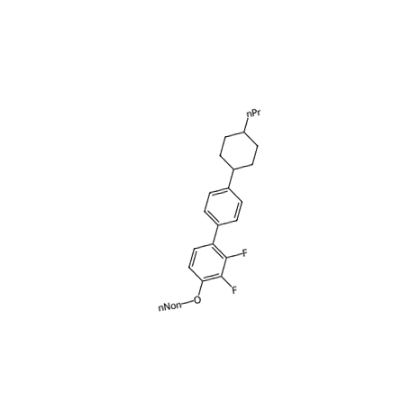 CCCCCCCCCOc1ccc(-c2ccc(C3CCC(CCC)CC3)cc2)c(F)c1F